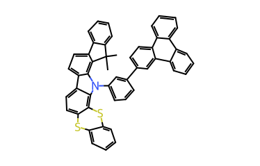 CC1(C)c2ccccc2-c2ccc3c4ccc5c(c4n(-c4cccc(-c6ccc7c8ccccc8c8ccccc8c7c6)c4)c3c21)Sc1ccccc1S5